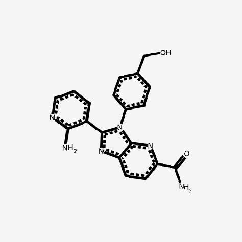 NC(=O)c1ccc2nc(-c3cccnc3N)n(-c3ccc(CO)cc3)c2n1